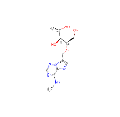 CNc1ncnn2c(CO[C@H](CO)[C@@H](O)[C@@H](C)O)cnc12